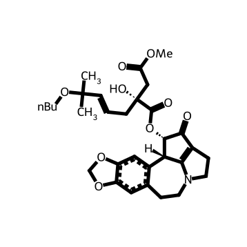 CCCCOC(C)(C)/C=C/C[C@@](O)(CC(=O)OC)C(=O)O[C@@H]1C(=O)C2=C3[C@@H]1c1cc4c(cc1CCN3CC2)OCO4